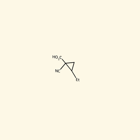 CCC1CC1(C#N)C(=O)O